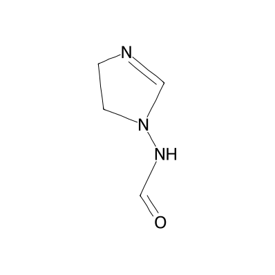 O=CNN1C=NCC1